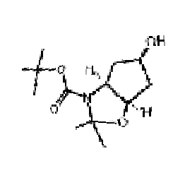 CC(C)(C)OC(=O)N1[C@H]2C[C@@H](O)C[C@H]2OC1(C)C